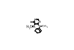 C=Nc1c(I)ncnc1N(C)C1CC2CCC1C2